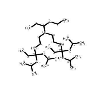 CCOC(CC)N(CCPC(CC)(OC(C)C)OC(C)C)CCPC(CC)(OC(C)C)OC(C)C